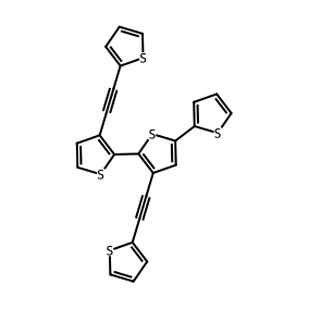 C(#Cc1ccsc1-c1sc(-c2cccs2)cc1C#Cc1cccs1)c1cccs1